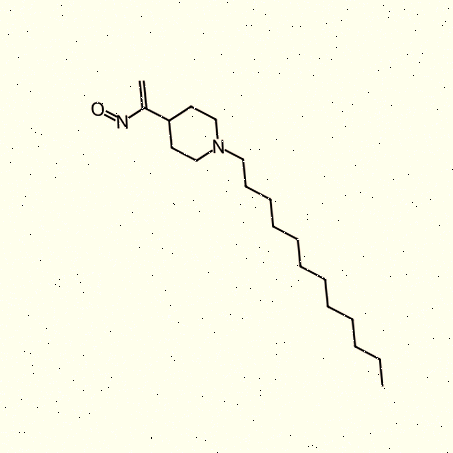 C=C(N=O)C1CCN(CCCCCCCCCCCC)CC1